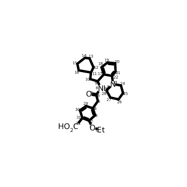 CCOc1cc(CC(=O)NC(CC2CCCCC2)c2ccccc2N2CCCCC2)ccc1C(=O)O